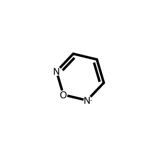 C1=C[N]ON=C1